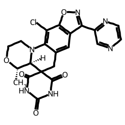 C[C@@H]1OCCN2c3c(cc4c(-c5cnccn5)noc4c3Cl)CC3(C(=O)NC(=O)NC3=O)[C@@H]12